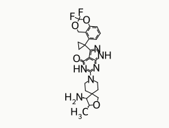 C[C@@H]1OCC2(CCN(c3nc4[nH]nc(C5(c6cccc7c6COC(F)(F)O7)CC5)c4c(=O)[nH]3)CC2)[C@@H]1N